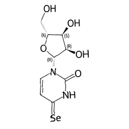 O=c1[nH]c(=[Se])ccn1[C@@H]1O[C@H](CO)[C@@H](O)[C@H]1O